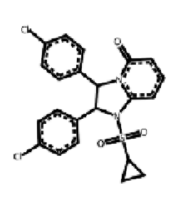 O=c1cccc2n1C(c1ccc(Cl)cc1)C(c1ccc(Cl)cc1)N2S(=O)(=O)C1CC1